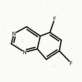 Fc1cc(F)c2cn[c]nc2c1